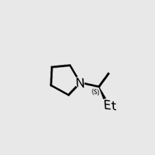 CC[C@H](C)N1CCCC1